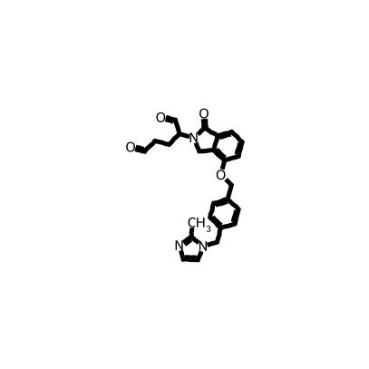 Cc1nccn1Cc1ccc(COc2cccc3c2CN(C(C=O)CCC=O)C3=O)cc1